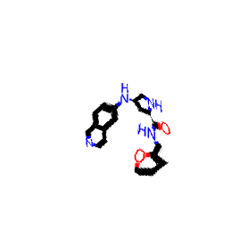 O=C(NCc1ccco1)[C@@H]1C[C@H](Nc2ccc3cnccc3c2)CN1